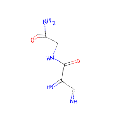 N=CC(=N)C(=O)NCC(N)=O